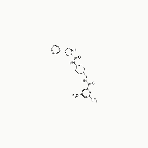 O=C(NCC1CCC(NC(=O)[C@@H]2C[C@H](c3ccccc3)CN2)CC1)c1cc(C(F)(F)F)cc(C(F)(F)F)c1